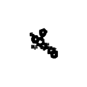 CN1C(=O)C(NC(=S)NCc2ccccc2Br)N=C(c2ccccc2)c2cc(Cl)ccc21